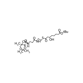 CC(C)(C)OC(=O)CCCCC(O)CC(=O)SCCNC(=O)CCNC(=O)[C@@H]1OC(C)(C)OCC1(C)C